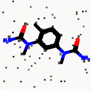 Cc1ccc(N(C)C(N)=O)cc1N(C)C(N)=O